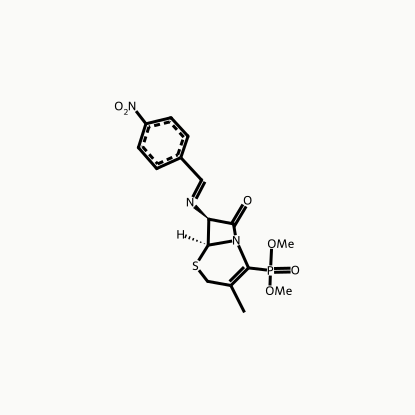 COP(=O)(OC)C1=C(C)CS[C@H]2[C@@H](N=Cc3ccc([N+](=O)[O-])cc3)C(=O)N12